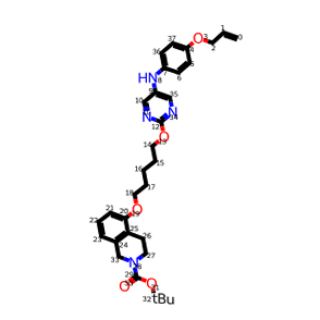 C=CCOc1ccc(Nc2cnc(OCCCCCOc3cccc4c3CCN(C(=O)OC(C)(C)C)C4)nc2)cc1